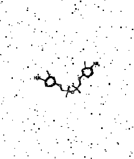 Cc1cc(OC[Si](C)(C)O[Si](C)(C)COc2ccc(N)c(C)c2)ccc1N